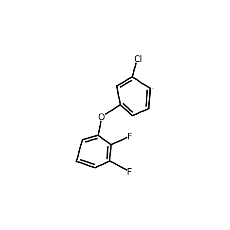 Fc1cccc(Oc2cc[c]c(Cl)c2)c1F